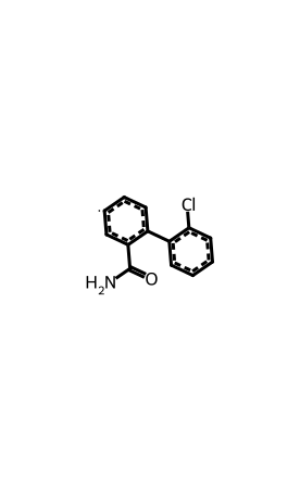 NC(=O)c1c[c]ccc1-c1ccccc1Cl